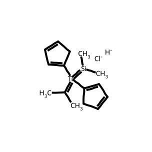 C[C](C)=[Ti]([C]1=CC=CC1)([C]1=CC=CC1)=[Si](C)C.[Cl-].[H-]